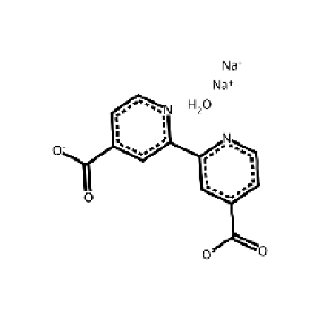 O.O=C([O-])c1ccnc(-c2cc(C(=O)[O-])ccn2)c1.[Na+].[Na+]